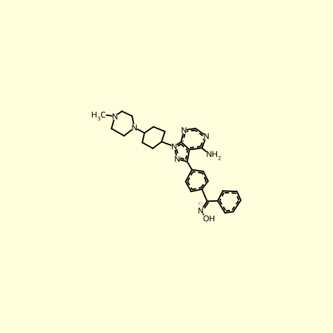 CN1CCN(C2CCC(n3nc(-c4ccc(/C(=N/O)c5ccccc5)cc4)c4c(N)ncnc43)CC2)CC1